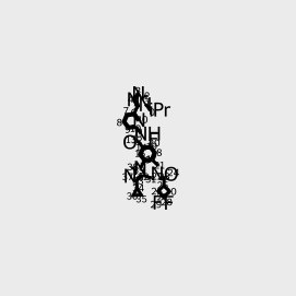 CC(C)n1cnnc1-c1cccc(NC(=O)c2cc3c(cc2F)CN(C(=O)C2CC(F)(F)C2)Cc2c(C4CC4)ncn2-3)n1